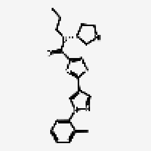 CCCN(C(=O)c1csc(-c2cnn(-c3ccccc3C)c2)n1)[C@@H]1CCNC1